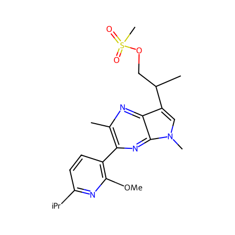 COc1nc(C(C)C)ccc1-c1nc2c(nc1C)c(C(C)COS(C)(=O)=O)cn2C